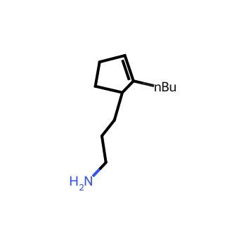 CCCCC1=CCCC1CCCN